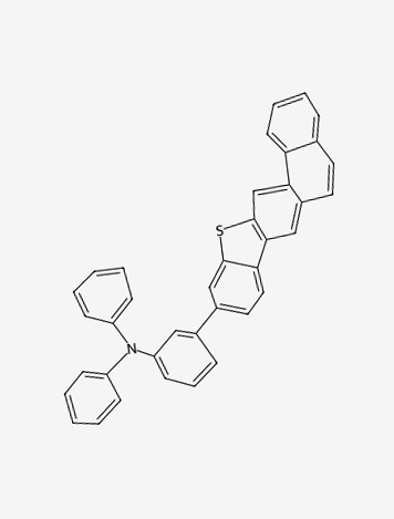 c1ccc(N(c2ccccc2)c2cccc(-c3ccc4c(c3)sc3cc5c(ccc6ccccc65)cc34)c2)cc1